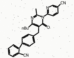 CCCCc1nc(C)n(-c2ccc(C#N)cn2)c(=O)c1Cc1ccc(-c2ccccc2C#N)cc1